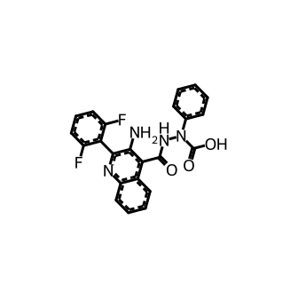 Nc1c(-c2c(F)cccc2F)nc2ccccc2c1C(=O)NN(C(=O)O)c1ccccc1